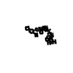 Cc1cc([C@H](C)n2cc(C(=O)N[C@H]3C[C@@H](c4cc(Cl)ccc4C#N)C3)nn2)cnc1N1C[C@H]2C[C@H]2C1=O